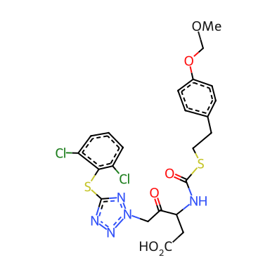 COCOc1ccc(CCSC(=O)NC(CC(=O)O)C(=O)Cn2nnc(Sc3c(Cl)cccc3Cl)n2)cc1